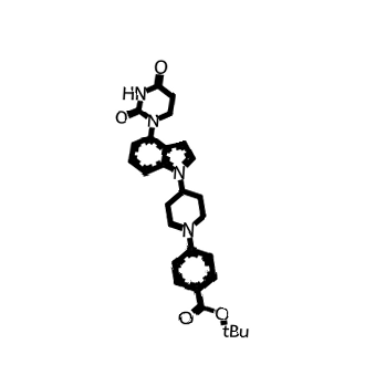 CC(C)(C)OC(=O)c1ccc(N2CCC(n3ccc4c(N5CCC(=O)NC5=O)cccc43)CC2)cc1